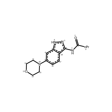 CCCC(=O)Nc1n[nH]c2cc(N3CCOCC3)ccc12